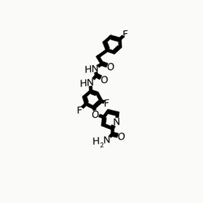 NC(=O)c1cc(Oc2c(F)cc(NC(=O)NC(=O)Cc3ccc(F)cc3)cc2F)ccn1